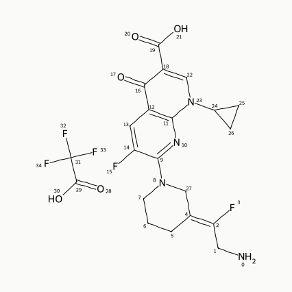 NCC(F)=C1CCCN(c2nc3c(cc2F)c(=O)c(C(=O)O)cn3C2CC2)C1.O=C(O)C(F)(F)F